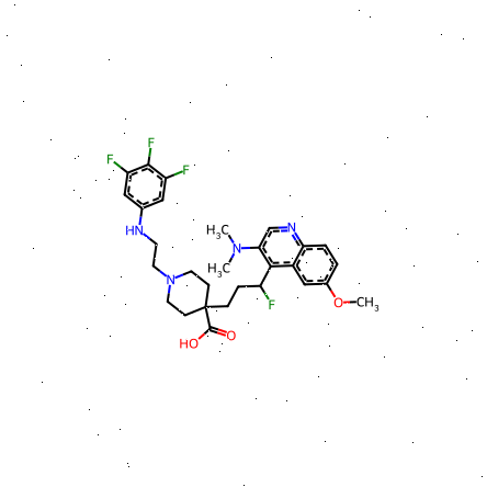 COc1ccc2ncc(N(C)C)c(C(F)CCC3(C(=O)O)CCN(CCNc4cc(F)c(F)c(F)c4)CC3)c2c1